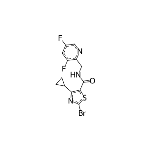 O=C(NCc1ncc(F)cc1F)c1sc(Br)nc1C1CC1